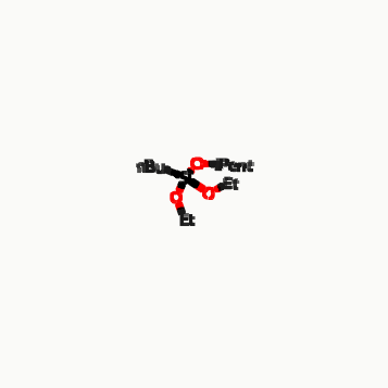 CCCC[Si](OCC)(OCC)OC(C)CCC